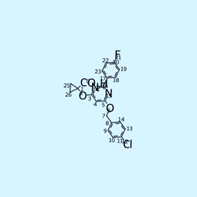 O=C(O)C1(Oc2cc(OCc3ccc(Cl)cc3)nc(-c3ccc(F)cc3)n2)CC1